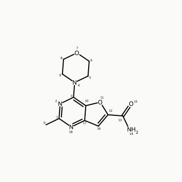 Cc1nc(N2CCOCC2)c2oc(C(N)=O)cc2n1